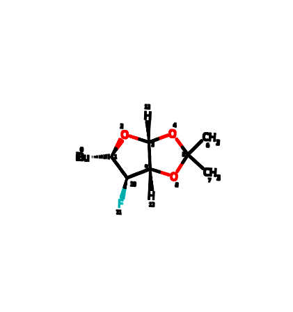 CC[C@@H](C)[C@H]1O[C@@H]2OC(C)(C)O[C@@H]2[C@H]1F